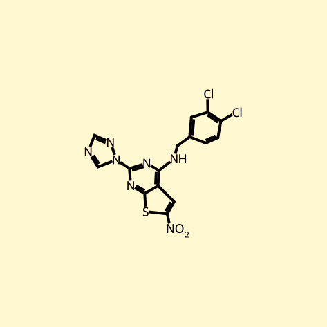 O=[N+]([O-])c1cc2c(NCc3ccc(Cl)c(Cl)c3)nc(-n3cncn3)nc2s1